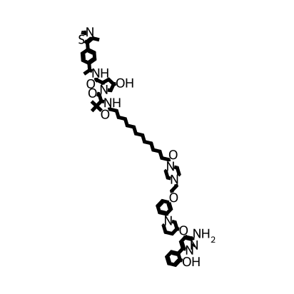 Cc1ncsc1-c1ccc(C(C)NC(=O)C2CC(O)CN2C(=O)C(NC(=O)CCCCCCCCCCCCC(=O)N2CCN(CCOc3cccc(N4CCCC(Oc5cc(-c6ccccc6O)nnc5N)C4)c3)CC2)C(C)(C)C)cc1